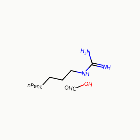 CCCCCCCCNC(=N)N.O=CO